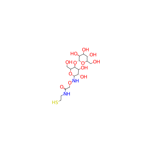 O=C(CONC1OC(CO)[C@@H](O[C@H]2OC(CO)[C@@H](O)C(O)[C@@H]2O)C(O)[C@@H]1O)NCCS